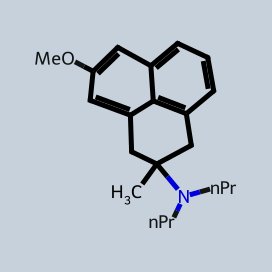 CCCN(CCC)C1(C)Cc2cccc3cc(OC)cc(c23)C1